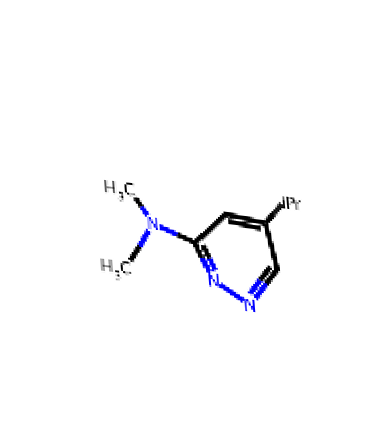 CC(C)c1cnnc(N(C)C)c1